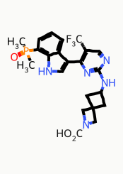 CP(C)(=O)c1cccc2c(-c3nc(NC4CC5(C4)CN(C(=O)O)C5)ncc3C(F)(F)F)c[nH]c12